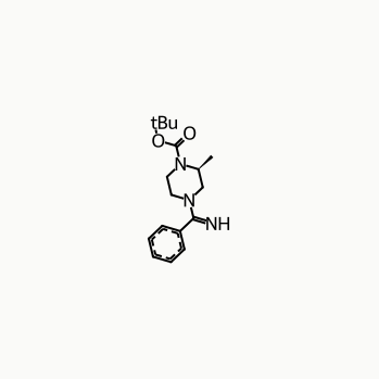 C[C@H]1CN(C(=N)c2ccccc2)CCN1C(=O)OC(C)(C)C